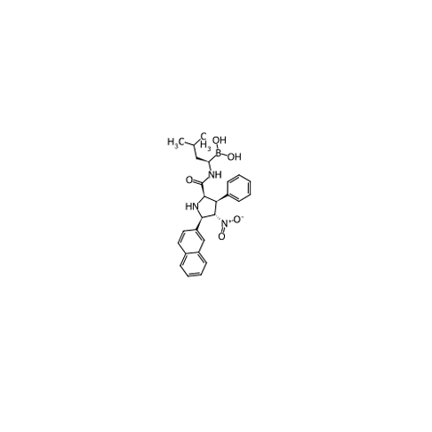 CC(C)C[C@H](NC(=O)[C@@H]1N[C@H](c2ccc3ccccc3c2)[C@@H]([N+](=O)[O-])[C@@H]1c1ccccc1)B(O)O